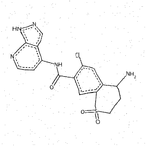 NC1CCS(=O)(=O)c2cc(C(=O)Nc3ccnc4[nH]ncc34)c(Cl)cc21